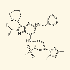 Cc1cn(C)nc1-c1ccc(Nc2cc(NCc3ccccc3)nc3c2nc(C(F)F)n3C2CCCCO2)c(S(C)(=O)=O)c1